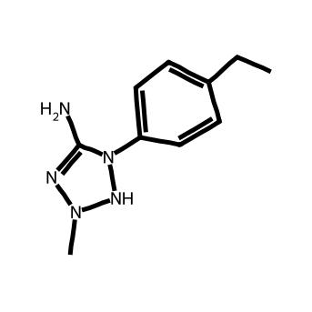 CCc1ccc(N2NN(C)N=C2N)cc1